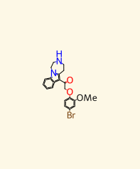 COc1cc(Br)ccc1OCC(=O)c1c2n(c3ccccc13)CCNCC2